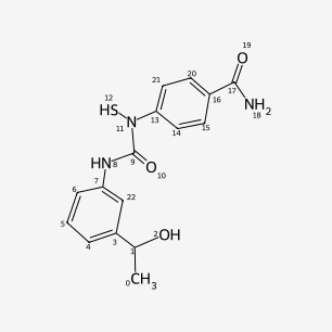 CC(O)c1cccc(NC(=O)N(S)c2ccc(C(N)=O)cc2)c1